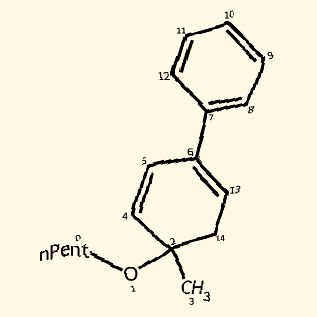 CCCCCOC1(C)C=CC(c2ccccc2)=CC1